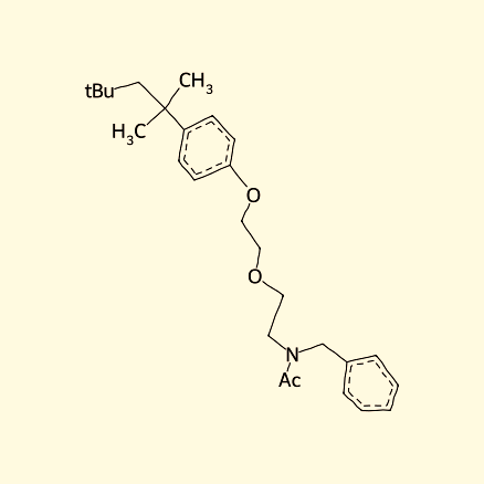 CC(=O)N(CCOCCOc1ccc(C(C)(C)CC(C)(C)C)cc1)Cc1ccccc1